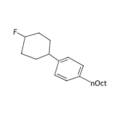 CCCCCCCCc1ccc(C2CCC(F)CC2)cc1